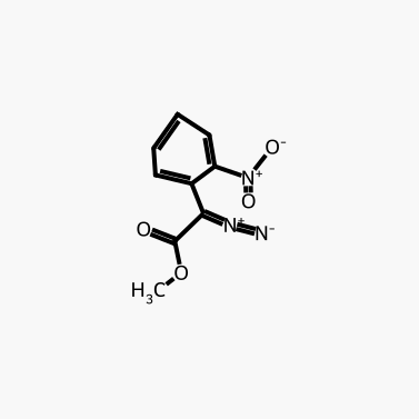 COC(=O)C(=[N+]=[N-])c1ccccc1[N+](=O)[O-]